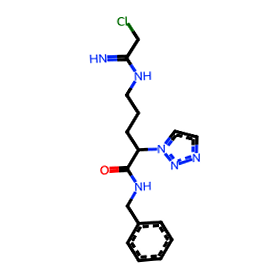 N=C(CCl)NCCCC(C(=O)NCc1ccccc1)n1ccnn1